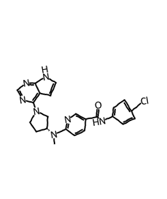 CN(c1ccc(C(=O)Nc2ccc(Cl)cc2)cn1)[C@@H]1CCN(c2ncnc3[nH]ccc23)C1